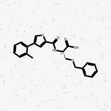 Cc1ccccc1-c1coc(C(=O)N[C@@H](COCc2ccccc2)C(=O)O)c1